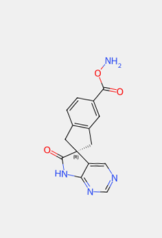 NOC(=O)c1ccc2c(c1)C[C@@]1(C2)C(=O)Nc2ncncc21